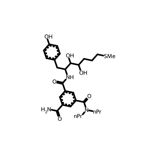 CCCN(CCC)C(=O)c1cc(C(N)=O)cc(C(=O)NC(Cc2ccc(O)cc2)C(O)C(O)CCCSC)c1